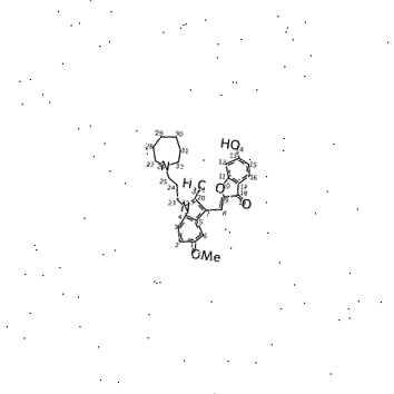 COc1ccc2c(c1)c(/C=C1\Oc3cc(O)ccc3C1=O)c(C)n2CCCN1CCCCCC1